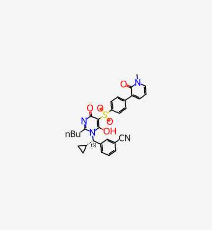 CCCCc1nc(=O)c(S(=O)(=O)c2ccc(-c3cccn(C)c3=O)cc2)c(O)n1[C@H](c1cccc(C#N)c1)C1CC1